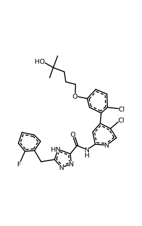 CC(C)(O)CCCOc1ccc(Cl)c(-c2cc(NC(=O)c3nnc(Cc4ccccc4F)[nH]3)ncc2Cl)c1